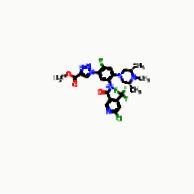 COC(=O)c1cn(-c2cc(NC(=O)c3cnc(Cl)cc3C(F)(F)F)c(N3C[C@@H](C)N(C)[C@@H](C)C3)cc2F)nn1